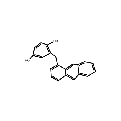 Oc1ccc(O)c(Cc2cccc3cc4ccccc4cc23)c1